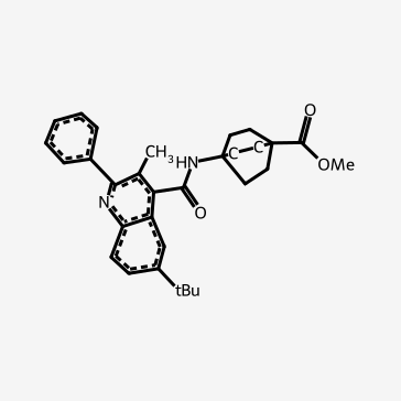 COC(=O)C12CCC(NC(=O)c3c(C)c(-c4ccccc4)nc4ccc(C(C)(C)C)cc34)(CC1)CC2